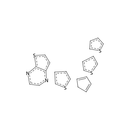 C1=CCC=C1.c1ccsc1.c1ccsc1.c1ccsc1.c1cnc2sccc2n1